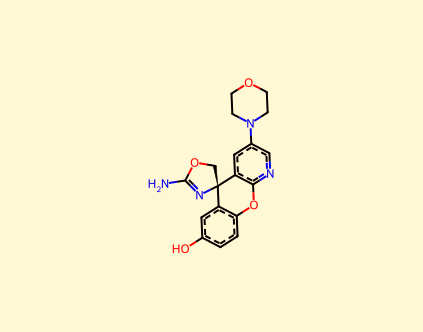 NC1=N[C@@]2(CO1)c1cc(O)ccc1Oc1ncc(N3CCOCC3)cc12